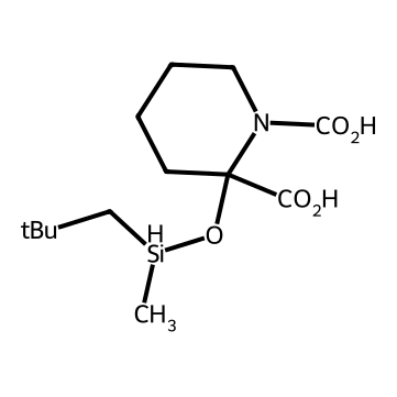 C[SiH](CC(C)(C)C)OC1(C(=O)O)CCCCN1C(=O)O